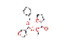 CCOC(=O)c1ccco1.O=C(OCc1ccccc1)c1ccoc1